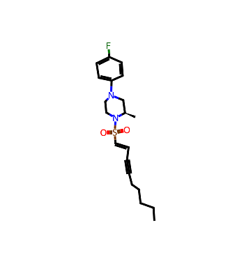 CCCCCC#CC=CS(=O)(=O)N1CCN(c2ccc(F)cc2)C[C@H]1C